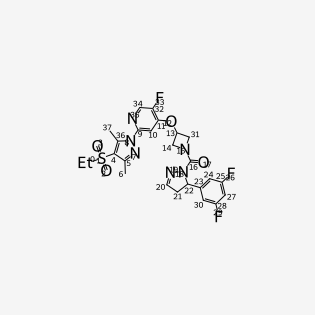 CCS(=O)(=O)c1c(C)nn(-c2cc(OC3CN(C(=O)N4N=CCC4c4cc(F)cc(F)c4)C3)c(F)cn2)c1C